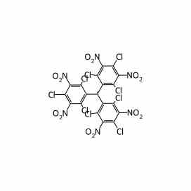 O=[N+]([O-])c1c(Cl)c([C](c2c(Cl)c([N+](=O)[O-])c(Cl)c([N+](=O)[O-])c2Cl)c2c(Cl)c([N+](=O)[O-])c(Cl)c([N+](=O)[O-])c2Cl)c(Cl)c([N+](=O)[O-])c1Cl